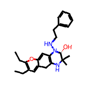 CCC1=C(CC)OC2=CC3=C(CC2=C1)NC(C)(C)[C@@H](O)N3NCCc1ccccc1